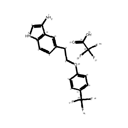 Nc1c[nH]c2ccc(CCOc3ccc(C(F)(F)F)cc3)cc12.O=C(O)C(F)(F)F